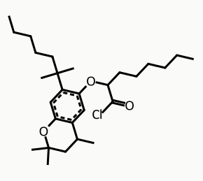 CCCCCCC(Oc1cc2c(cc1C(C)(C)CCCCC)OC(C)(C)CC2C)C(=O)Cl